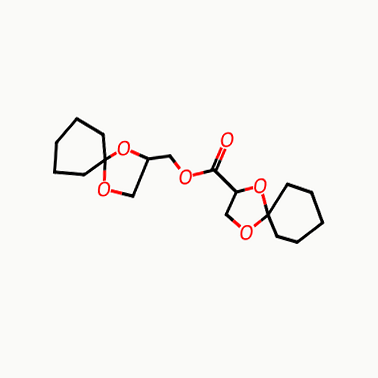 O=C(OCC1COC2(CCCCC2)O1)C1COC2(CCCCC2)O1